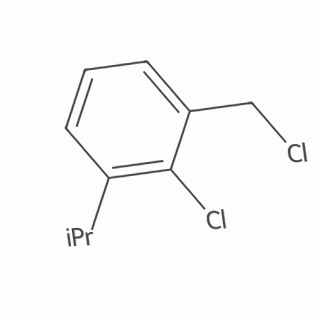 CC(C)c1cccc(CCl)c1Cl